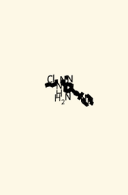 C=C(Cl)/C=C(\C)Nc1ncnc2cc(C#CC(C)(C)N3CCN(C)CC3)c(N)cc12